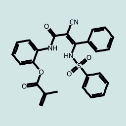 C=C(C)C(=O)Oc1ccccc1NC(=O)C(C#N)=C(NS(=O)(=O)c1ccccc1)c1ccccc1